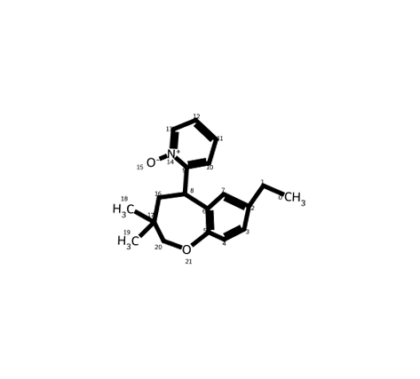 CCc1ccc2c(c1)C(c1cccc[n+]1[O-])CC(C)(C)CO2